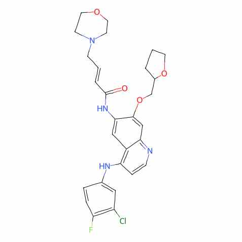 O=C(/C=C/CN1CCOCC1)Nc1cc2c(Nc3ccc(F)c(Cl)c3)ccnc2cc1OCC1CCCO1